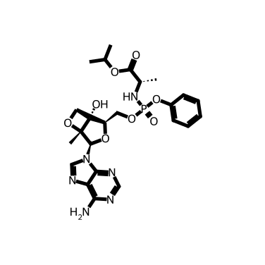 CC(C)OC(=O)[C@H](C)NP(=O)(OC[C@]12O[C@@H](n3cnc4c(N)ncnc43)[C@]3(C)OC1[C@@]23O)Oc1ccccc1